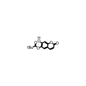 CC(C)(C)C(=O)Oc1cc2ccc(=O)oc2cc1O